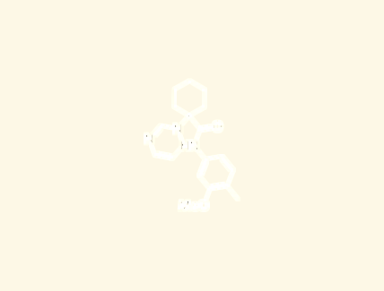 COc1cc(NC(=O)C2(N3C=NC=CC3)CCCCC2)ccc1C